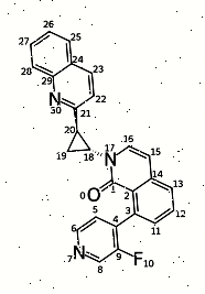 O=c1c2c(-c3ccncc3F)cccc2ccn1[C@@H]1C[C@H]1c1ccc2ccccc2n1